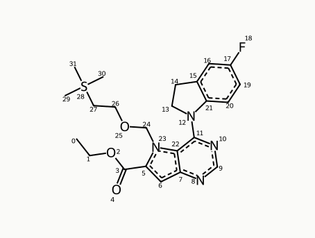 CCOC(=O)c1cc2ncnc(N3CCc4cc(F)ccc43)c2n1COCCS(C)(C)C